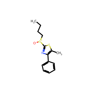 CCCC[S+]([O-])c1nc(-c2ccccc2)c(C)s1